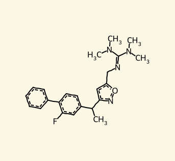 CC(c1ccc(-c2ccccc2)c(F)c1)c1cc(CN=C(N(C)C)N(C)C)on1